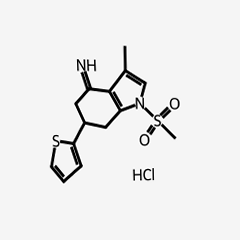 Cc1cn(S(C)(=O)=O)c2c1C(=N)CC(c1cccs1)C2.Cl